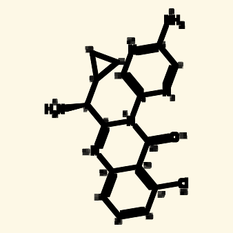 Nc1cnc(-n2c([C@@H](N)C3CC3)nc3cccc(Cl)c3c2=O)cn1